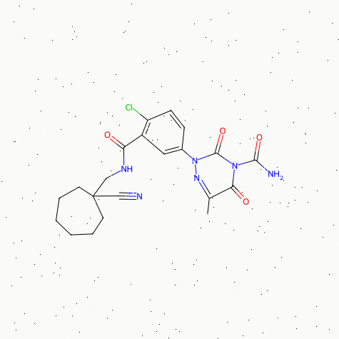 Cc1nn(-c2ccc(Cl)c(C(=O)NCC3(C#N)CCCCCC3)c2)c(=O)n(C(N)=O)c1=O